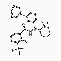 CN1CCCC[C@H]1[C@@H](NC(=O)c1cccc(C(F)(F)F)c1Cl)c1cccc(-c2cccnc2)c1